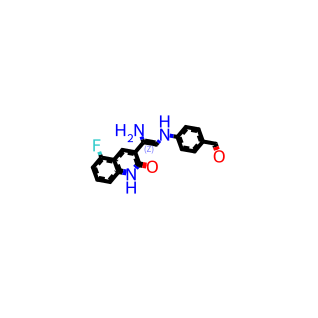 N/C(=C\Nc1ccc(C=O)cc1)c1cc2c(F)cccc2[nH]c1=O